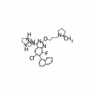 C[C@@H]1CCCN1CCCOc1nc(N2C[C@H]3CC[C@@H](C2)N3)c2cc(Cl)c(-c3cccc4ccccc34)c(F)c2n1